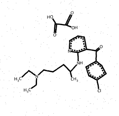 CCN(CC)CCCC(C)Nc1ncccc1C(=O)c1ccc(Cl)cc1.O=C(O)C(=O)O